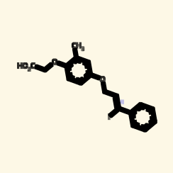 Cc1cc(OC/C=C(\I)c2ccccc2)ccc1OCC(=O)O